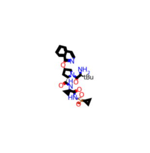 CC(C)(C)[C@H](N)C(=O)N1C[C@H](Oc2nccc3ccccc23)C[C@H]1C(=O)NC1(C(=O)NS(=O)(=O)C2CC2)CC1